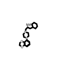 CN[C@H](CC1CCCCC1)CN1CCN(c2cccc3c2OCCO3)CC1